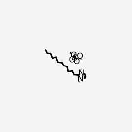 CCCCCCCCCCCCC1=[N+](C)CCN1C.COS(=O)(=O)[O-]